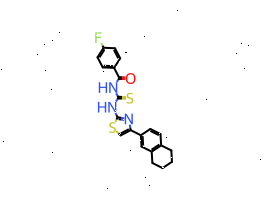 O=C(NC(=S)Nc1nc(-c2ccc3c(c2)CCCC3)cs1)c1ccc(F)cc1